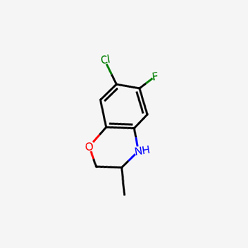 CC1COc2cc(Cl)c(F)cc2N1